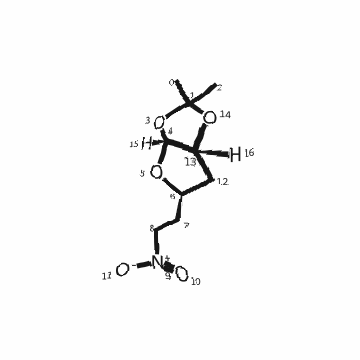 CC1(C)O[C@H]2O[C@H](CC[N+](=O)[O-])C[C@H]2O1